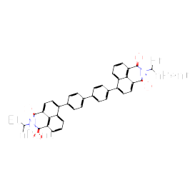 CCCCCC(CC)N1C(=O)c2cccc3c(-c4ccc(-c5ccc(-c6ccc7c8c(cccc68)C(=O)N(C(CC)CCCCC)C7=O)cc5)cc4)ccc(c23)C1=O